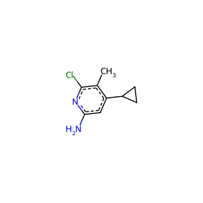 Cc1c(C2CC2)cc(N)nc1Cl